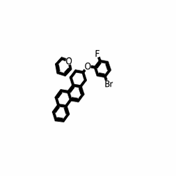 C1=CCOC=C1.Fc1ccc(Br)cc1OC1CCc2c(ccc3c2ccc2ccccc23)C1